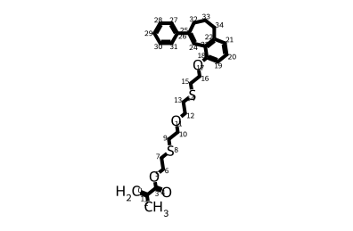 C=C(C)C(=O)OCCSCCOCCSCCOc1cccc2c1C=C(c1ccccc1)CCC2